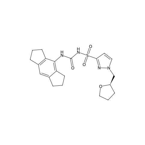 O=C(Nc1c2c(cc3c1CCC3)CCC2)NS(=O)(=O)c1ccn(C[C@H]2CCCO2)n1